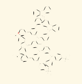 CC(C)(C)c1ccc2c(c1)c1cc(C(C)(C)C)ccc1n2-c1ccc2c(c1)N(c1cc(-c3ccccc3)cc(C3C=CC=CC3)c1)c1cc(-n3c4ccc(C(C)(C)C)cc4c4cc(C(C)(C)C)ccc43)cc3c1B2c1ccc(-n2c4ccccc4c4cc(-n5c6ccccc6c6ccccc65)ccc42)cc1N3c1cc(-c2ccccc2)cc(-c2ccccc2)c1